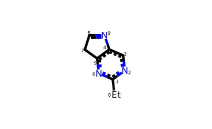 CCc1ncc2c(n1)CC=N2